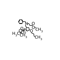 CCCCOC1CC(CN(CCC(=O)OCC)Cc2ccccc2)N(C(=O)OC(C)(C)C)C1